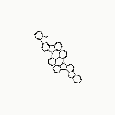 C1=Cc2c(sc3c2ccc2c3c3ccccc3n2-c2ccccc2-c2ccccc2-n2c3ccccc3c3c4sc5ccccc5c4ccc32)CC1